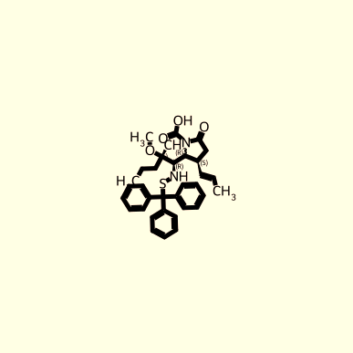 CC=C[C@@H]1CC(=O)N(C(=O)O)[C@H]1[C@@H](NSC(c1ccccc1)(c1ccccc1)c1ccccc1)[C@](C)(CCC)OC